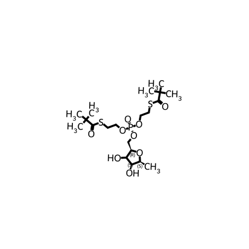 C[C@@H]1O[C@H](COP(=O)(OCCSC(=O)C(C)(C)C)OCCSC(=O)C(C)(C)C)C(O)[C@@H]1O